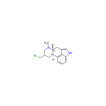 CN1CC(CBr)C[C@@H]2c3cccc4[nH]cc(c34)C[C@H]21